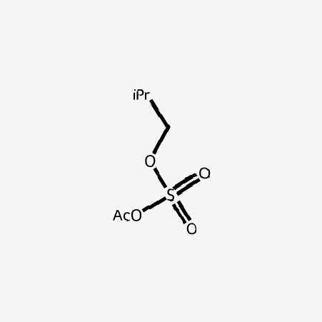 CC(=O)OS(=O)(=O)OCC(C)C